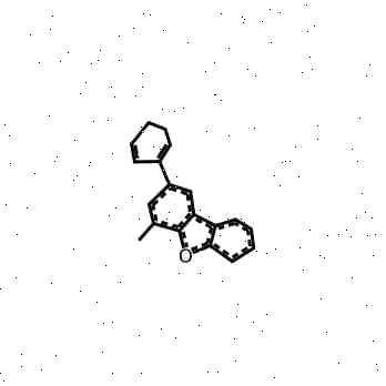 Cc1cc(C2=CCCC=C2)cc2c1oc1ccccc12